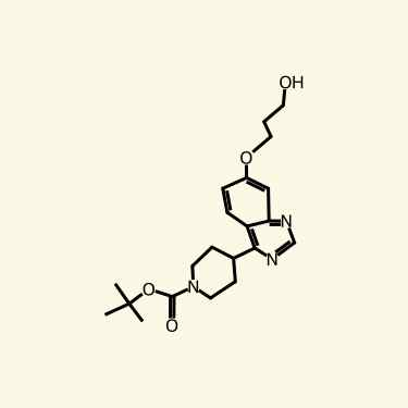 CC(C)(C)OC(=O)N1CCC(c2ncnc3cc(OCCCO)ccc23)CC1